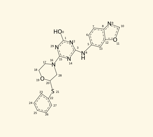 Oc1nc(Nc2ccc3ncoc3c2)nc(N2CCOC(Sc3ccccc3)C2)n1